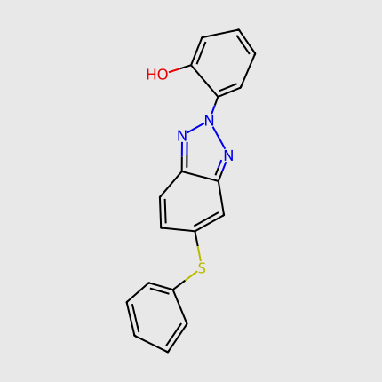 Oc1ccccc1-n1nc2ccc(Sc3ccccc3)cc2n1